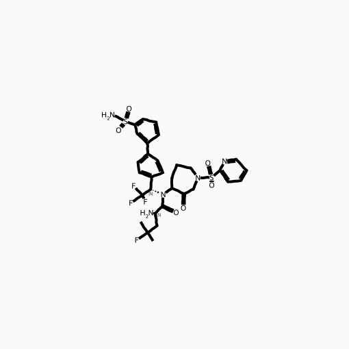 CC(C)(F)C[C@H](N)C(=O)N(C1CCCN(S(=O)(=O)c2ccccn2)CC1=O)[C@@H](c1ccc(-c2cccc(S(N)(=O)=O)c2)cc1)C(F)(F)F